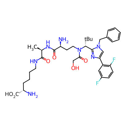 C[C@@H](NC(=O)[C@@H](N)CCN(C(=O)CO)[C@@H](c1nc(-c2cc(F)ccc2F)cn1Cc1ccccc1)C(C)(C)C)C(=O)NCCCC[C@H](N)C(=O)O